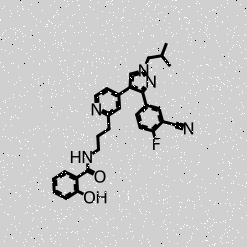 CC(C)Cn1cc(-c2ccnc(CCCNC(=O)c3ccccc3O)c2)c(-c2ccc(F)c(C#N)c2)n1